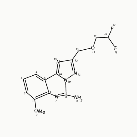 COc1cccc2c1nc(N)n1nc(COCC(F)F)nc21